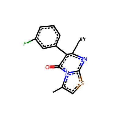 Cc1csc2nc(C(C)C)c(-c3cccc(F)c3)c(=O)n12